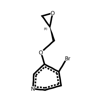 Brc1ccncc1OC[C@H]1CO1